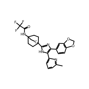 Cc1cccc(-c2[nH]c(C34CCC(NC(=O)C(F)(F)F)(CC3)CC4)nc2-c2ccc3c(c2)OCO3)n1